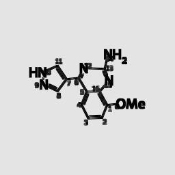 COc1cccc2c(-c3cn[nH]c3)nc(N)nc12